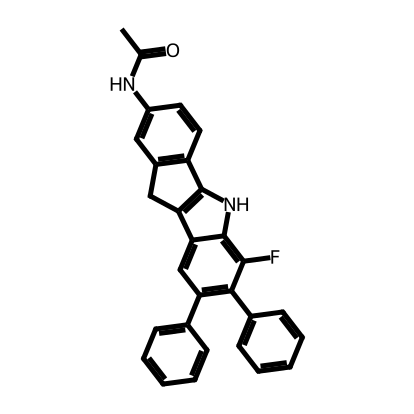 CC(=O)Nc1ccc2c(c1)Cc1c-2[nH]c2c(F)c(-c3ccccc3)c(-c3ccccc3)cc12